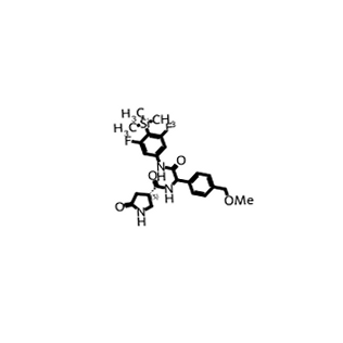 COCc1ccc(C(NC(=O)[C@@H]2CNC(=O)C2)C(=O)Nc2cc(F)c([Si](C)(C)C)c(F)c2)cc1